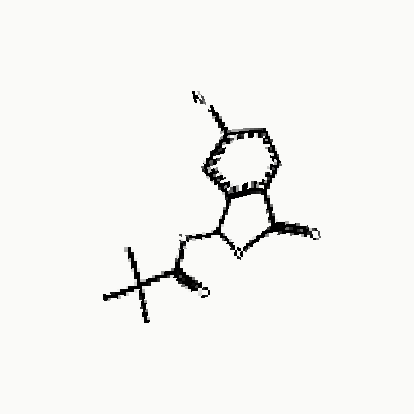 CC(C)(C)C(=O)OC1OC(=O)c2ccc(Br)cc21